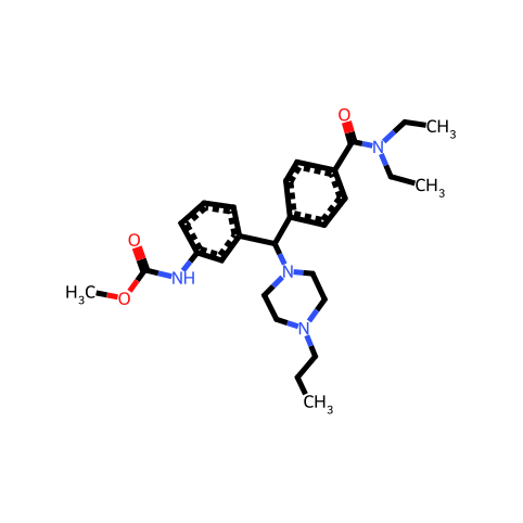 CCCN1CCN(C(c2ccc(C(=O)N(CC)CC)cc2)c2cccc(NC(=O)OC)c2)CC1